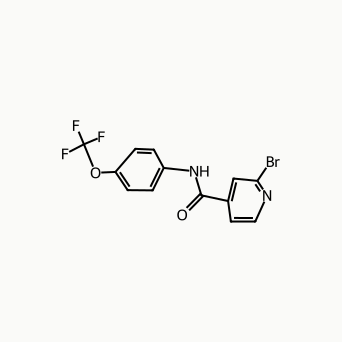 O=C(Nc1ccc(OC(F)(F)F)cc1)c1ccnc(Br)c1